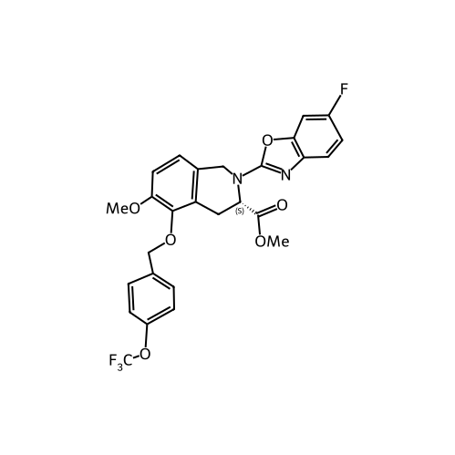 COC(=O)[C@@H]1Cc2c(ccc(OC)c2OCc2ccc(OC(F)(F)F)cc2)CN1c1nc2ccc(F)cc2o1